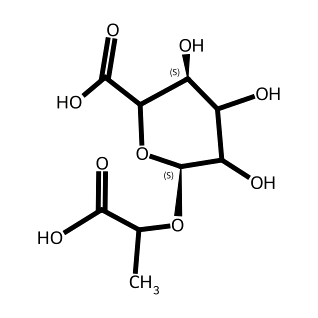 CC(O[C@H]1OC(C(=O)O)[C@@H](O)C(O)C1O)C(=O)O